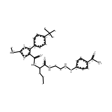 CCCC(NC(=O)c1nc(NC)sc1-c1ccc(C(C)(C)C)cc1)C(=O)NCCNSc1ccc(C(N)=O)cc1